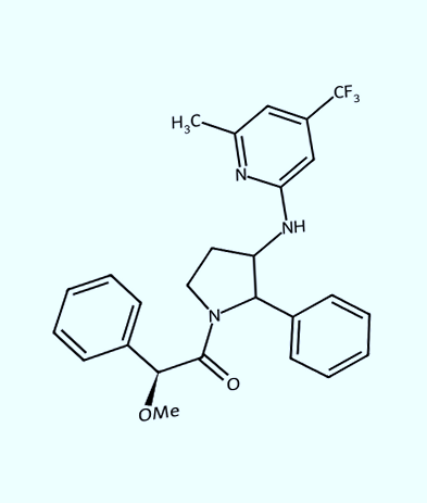 CO[C@H](C(=O)N1CCC(Nc2cc(C(F)(F)F)cc(C)n2)C1c1ccccc1)c1ccccc1